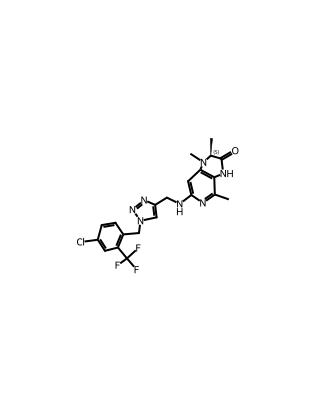 Cc1nc(NCc2cn(Cc3ccc(Cl)cc3C(F)(F)F)nn2)cc2c1NC(=O)[C@H](C)N2C